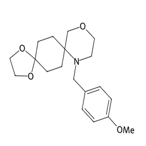 COc1ccc(CN2CCOCC23CCC2(CC3)OCCO2)cc1